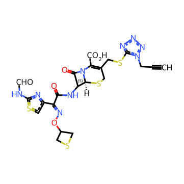 C#CCn1nnnc1SCC1=C(C(=O)O)N2C(=O)C(NC(=O)C(=NOC3CSC3)c3csc(NC=O)n3)[C@@H]2SC1